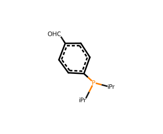 CC(C)P(c1ccc(C=O)cc1)C(C)C